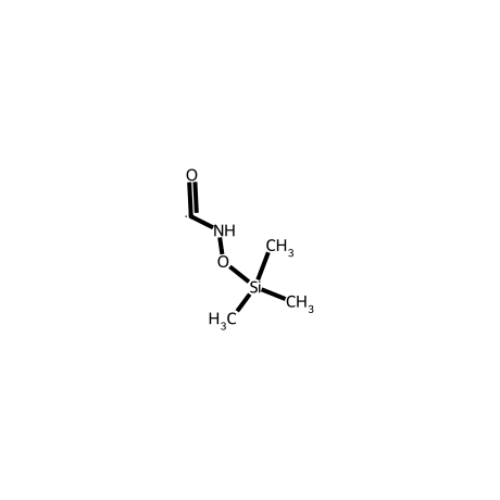 C[Si](C)(C)ON[C]=O